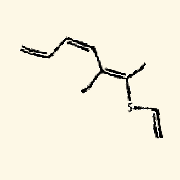 C=C/C=C\C(C)=C(/C)SC=C